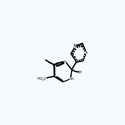 CC1=NC(Br)(c2cncnc2)NC=C1C(=O)O